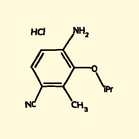 Cc1c(C#N)ccc(N)c1OC(C)C.Cl